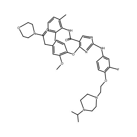 COc1cc(CC(=O)N2CCOCC2)ccc1Oc1nc(Nc2ccc(OCCN3CCN(C(C)C)CC3)c(F)c2)ncc1C(=O)Nc1c(C)cccc1C